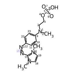 CN(CCOS(=O)(=O)O)c1ccc(/N=N\c2n(C)cc[n+]2C)cc1